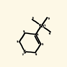 [CH3][Sn]([CH3])([CH3])[C]1=CCSCC1